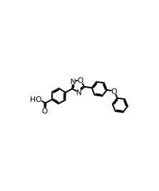 O=C(O)c1ccc(-c2noc(-c3ccc(Oc4ccccc4)cc3)n2)cc1